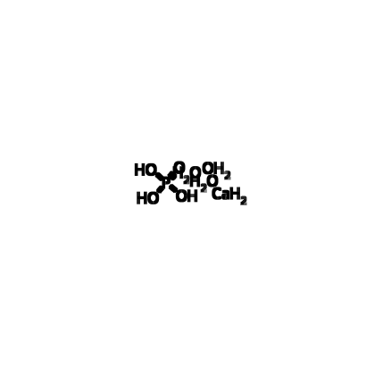 O.O.O.O=P(O)(O)O.[CaH2]